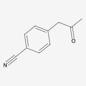 CC(=O)Cc1ccc(C#N)cc1